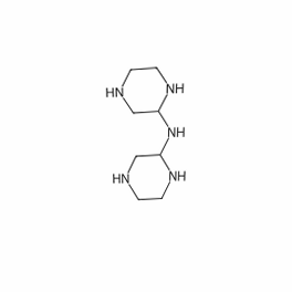 C1CNC(NC2CNCCN2)CN1